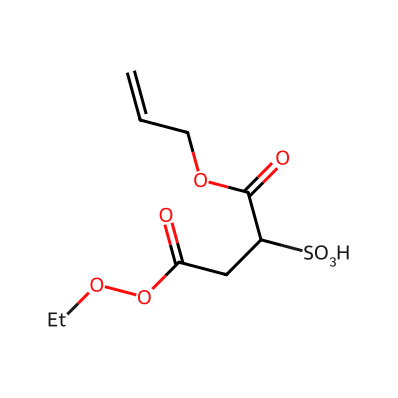 C=CCOC(=O)C(CC(=O)OOCC)S(=O)(=O)O